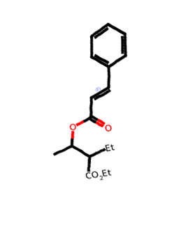 CCOC(=O)C(CC)C(C)OC(=O)/C=C/c1ccccc1